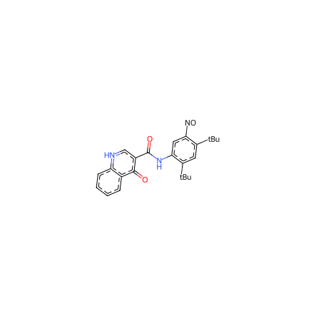 CC(C)(C)c1cc(C(C)(C)C)c(NC(=O)c2c[nH]c3ccccc3c2=O)cc1N=O